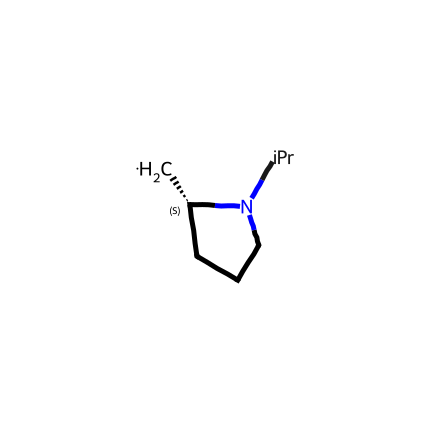 [CH2][C@H]1CCCN1C(C)C